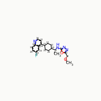 COCc1nnc(N[C@H](C)C2CCC(c3ccnc4ccc(F)cc34)CC2)o1